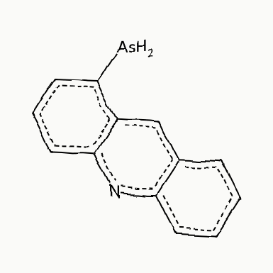 [AsH2]c1cccc2nc3ccccc3cc12